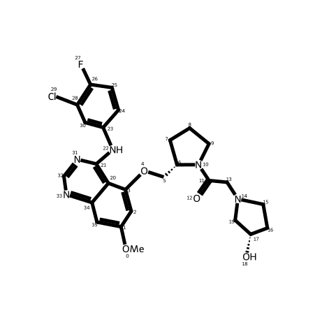 COc1cc(OC[C@@H]2CCCN2C(=O)CN2CC[C@H](O)C2)c2c(Nc3ccc(F)c(Cl)c3)ncnc2c1